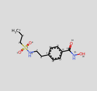 CCCS(=O)(=O)NCCc1ccc(C(=O)NO)cc1